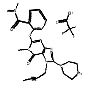 CC#CCn1c(N2CCNCC2)nc2nc(Oc3ccccc3C(=O)N(C)C)n(C)c(=O)c21.O=C(O)C(F)(F)F